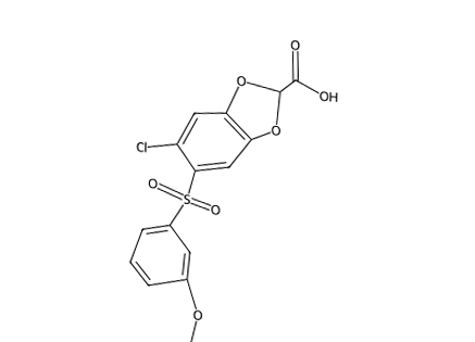 COc1cccc(S(=O)(=O)c2cc3c(cc2Cl)OC(C(=O)O)O3)c1